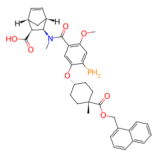 COc1cc(P)c(O[C@H]2CC[C@@](C)(C(=O)OCc3cccc4ccccc34)CC2)cc1C(=O)N(C)[C@H]1[C@@H](C(=O)O)[C@@H]2C=C[C@H]1C2